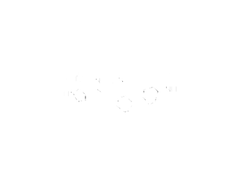 Cc1cc(C(=O)N(C)CCN(C)Cc2ccccc2-c2ccc3c(c2)CC(O)N3)c(C=O)[nH]1